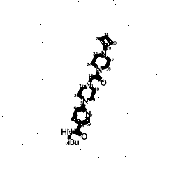 CCC(C)NC(=O)c1ccc(N2CCN(CC(=O)N3CCN(C4CCC4)CC3)CC2)nc1